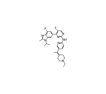 CCN1CCC(=C(C)c2ccc(Nc3ncc(F)c(-c4cc(F)c5nc(C)n(C(C)C)c5c4)n3)nc2)CC1